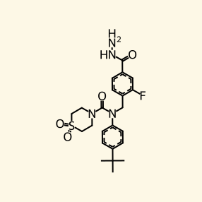 CC(C)(C)c1ccc(N(Cc2ccc(C(=O)NN)cc2F)C(=O)N2CCS(=O)(=O)CC2)cc1